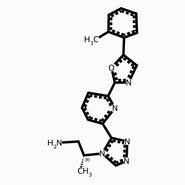 Cc1ccccc1-c1cnc(-c2cccc(-c3nncn3[C@H](C)CN)n2)o1